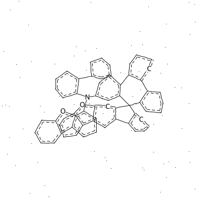 c1ccc(-c2ccccc2N(c2ccc3c(c2)C2(c4ccccc4-c4ccccc4-3)c3ccccc3-c3cc4c(cc32)oc2ccccc24)c2cccc3c2oc2ccccc23)cc1